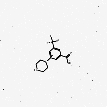 NC(=O)c1cc(N2CCNCC2)cc(C(F)(F)F)c1